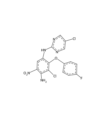 Nc1c([N+](=O)[O-])cc(Nc2ncc(Cl)cn2)c(Oc2ccc(F)cc2)c1Cl